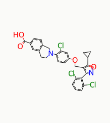 O=C(O)c1ccc2c(c1)CCN(c1ccc(OCc3c(-c4c(Cl)cccc4Cl)noc3C3CC3)cc1Cl)C2